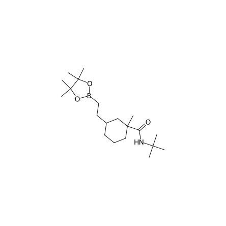 CC(C)(C)NC(=O)C1(C)CCCC(CCB2OC(C)(C)C(C)(C)O2)C1